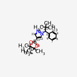 CC(C)(C)C(c1ccccc1)n1cc(B2OC(C)(C)C(C)(C)O2)cn1